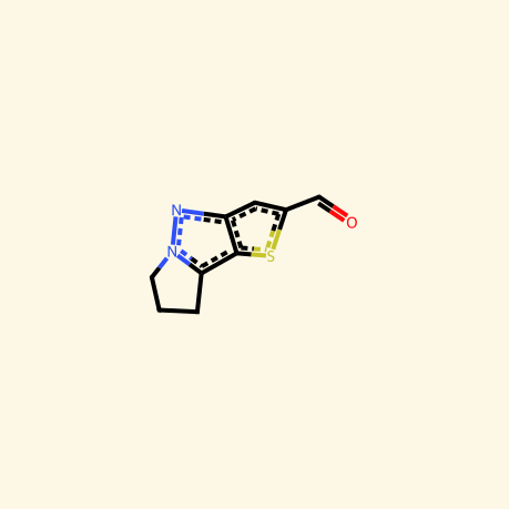 O=Cc1cc2nn3c(c2s1)CCC3